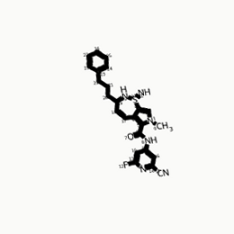 Cn1cc2c(c1C(=O)Nc1cc(F)nc(C#N)c1)C=CC(CCCc1ccccc1)NS2=N